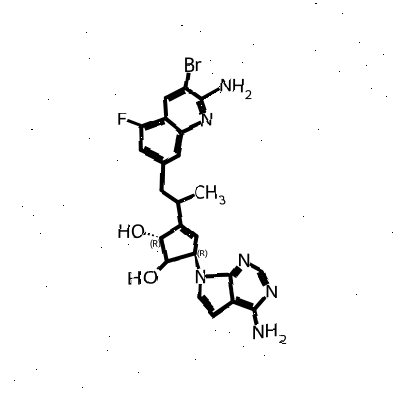 CC(Cc1cc(F)c2cc(Br)c(N)nc2c1)C1=C[C@@H](n2ccc3c(N)ncnc32)C(O)[C@@H]1O